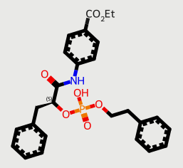 CCOC(=O)c1ccc(NC(=O)[C@H](Cc2ccccc2)OP(=O)(O)OCCc2ccccc2)cc1